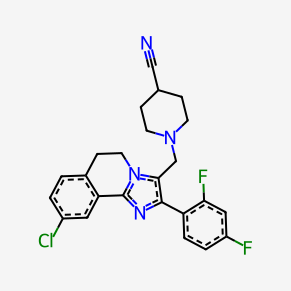 N#CC1CCN(Cc2c(-c3ccc(F)cc3F)nc3n2CCc2ccc(Cl)cc2-3)CC1